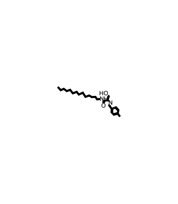 CCCCCCCCCCCCCCNC(=O)C(CO)N=Cc1ccc(C)cc1